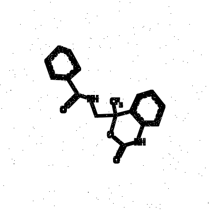 O=C1Nc2ccccc2C(CNC(=O)c2ccccc2)(C(F)(F)F)O1